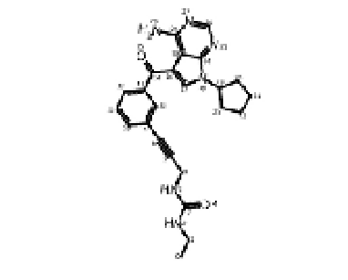 CCNC(=O)NCC#Cc1cccc(C(=O)c2cn(C3CCCC3)c3ncnc(N)c23)c1